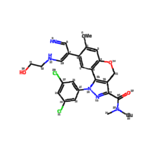 COc1cc2c(cc1/C(C=N)=C/NCCO)-c1c(c(C(=O)N(C)C(C)(C)C)nn1-c1cc(Cl)cc(Cl)c1)CO2